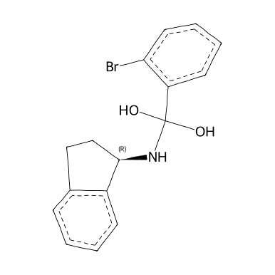 OC(O)(N[C@@H]1CCc2ccccc21)c1ccccc1Br